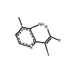 CC(=C(F)F)c1nccc(C)c1N